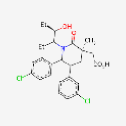 CCC([C@H](O)CC)N1C(=O)[C@@](C)(CC(=O)O)CC(c2cccc(Cl)c2)C1c1ccc(Cl)cc1